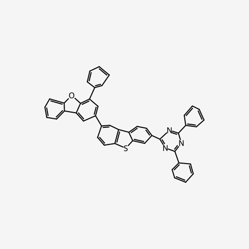 c1ccc(-c2nc(-c3ccccc3)nc(-c3ccc4c(c3)sc3ccc(-c5cc(-c6ccccc6)c6oc7ccccc7c6c5)cc34)n2)cc1